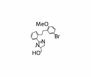 COc1ccc(Br)cc1CCc1ccccc1C1=NCC(CO)N1C